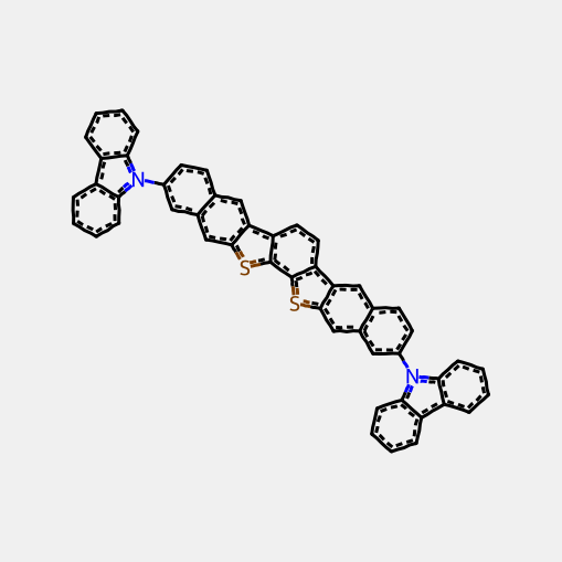 c1ccc2c(c1)c1ccccc1n2-c1ccc2cc3c(cc2c1)sc1c3ccc2c3cc4ccc(-n5c6ccccc6c6ccccc65)cc4cc3sc21